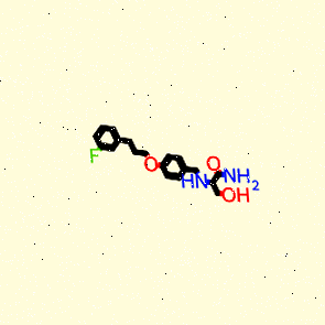 NC(=O)C(CO)NCc1ccc(OCCCc2cccc(F)c2)cc1